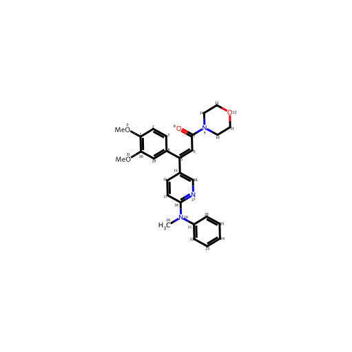 COc1ccc(/C(=C\C(=O)N2CCOCC2)c2ccc(N(C)c3ccccc3)nc2)cc1OC